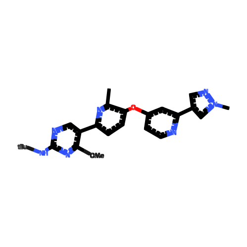 COc1nc(NC(C)(C)C)ncc1-c1ccc(Oc2ccnc(-c3cnn(C)c3)c2)c(C)n1